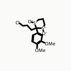 COc1ccc(C2(CCCCl)[S+]([O-])CCC[S+]2[O-])cc1OC